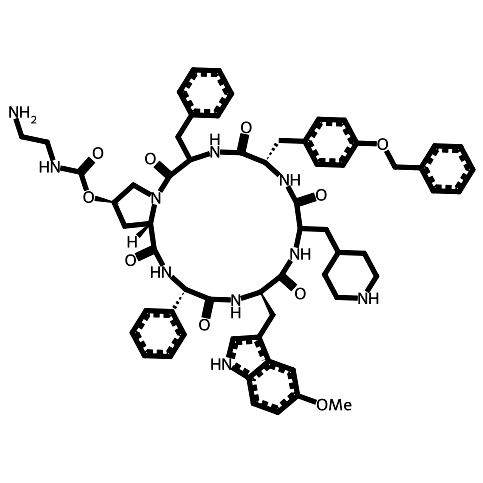 COc1ccc2[nH]cc(C[C@H]3NC(=O)[C@H](c4ccccc4)NC(=O)[C@@H]4C[C@@H](OC(=O)NCCN)CN4C(=O)C(Cc4ccccc4)NC(=O)[C@H](Cc4ccc(OCc5ccccc5)cc4)NC(=O)C(CC4CCNCC4)NC3=O)c2c1